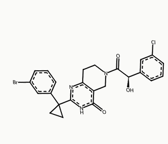 O=C([C@H](O)c1cccc(Cl)c1)N1CCc2nc(C3(c4cccc(Br)c4)CC3)[nH]c(=O)c2C1